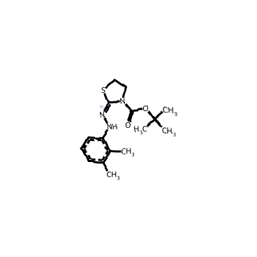 Cc1cccc(N/N=C2/SCCN2C(=O)OC(C)(C)C)c1C